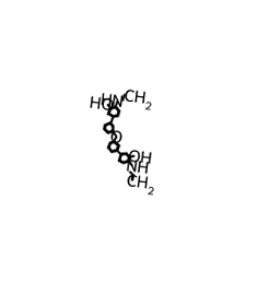 C=CCNc1ccc(-c2cccc(Oc3cccc(-c4ccc(NCC=C)c(O)c4)c3)c2)cc1O